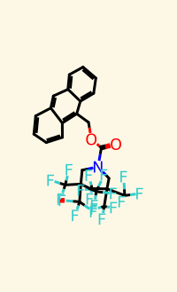 O=C(OCc1c2ccccc2cc2ccccc12)N(CC(C(F)(F)F)(C(F)(F)F)C(F)(F)F)CC(C(F)(F)F)(C(F)(F)F)C(F)(F)F